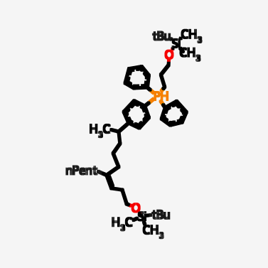 CCCCC/C(=C/CCO[Si](C)(C)C(C)(C)C)CCCC(C)c1ccc([PH](CCCO[Si](C)(C)C(C)(C)C)(c2ccccc2)c2ccccc2)cc1